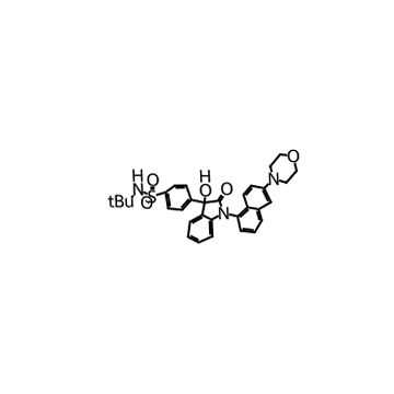 CC(C)(C)NS(=O)(=O)c1ccc(C2(O)C(=O)N(c3cccc4cc(N5CCOCC5)ccc34)c3ccccc32)cc1